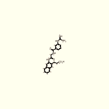 N=C(N)Nc1cccc(C(=O)NCC(=O)Nc2cc3ccccc3cc2CCC(=O)O)c1